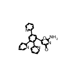 Nc1nc(=O)cc(-c2cc(-c3ccccn3)cc(-c3ccccn3)c2-c2ccccn2)o1